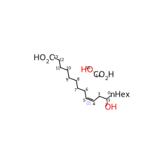 CCCCCCC(O)C/C=C\CCCCCCCC(=O)O.O=C(O)O